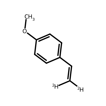 [2H]C([2H])=Cc1ccc(OC)cc1